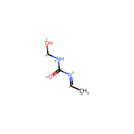 CC=NC(=O)NCO